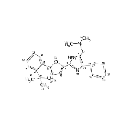 CN(C)Cc1[nH]c(-c2ccc(-c3ccccc3C(C)(C)C)o2)nc1-c1ccccc1